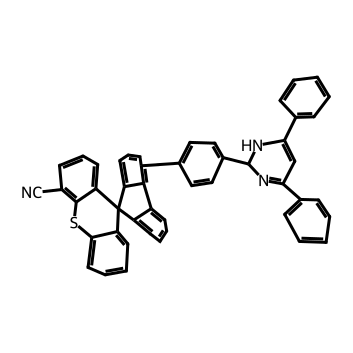 N#Cc1cccc2c1Sc1ccccc1C21c2ccccc2-c2c(-c3ccc(C4N=C(c5ccccc5)C=C(c5ccccc5)N4)cc3)cccc21